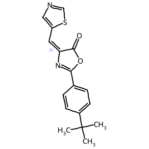 CC(C)(C)c1ccc(C2=N/C(=C/c3cncs3)C(=O)O2)cc1